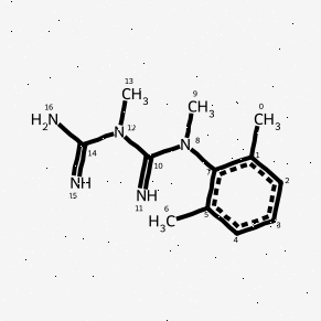 Cc1cccc(C)c1N(C)C(=N)N(C)C(=N)N